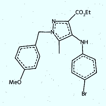 CCOC(=O)c1nn(Cc2ccc(OC)cc2)c(C)c1Nc1ccc(Br)cc1